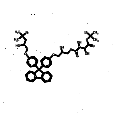 CCC(C)(C)CC(O)COc1ccc(C2(c3ccc(OCC(O)COC(=O)C(O)C(O)C(=O)OC(C)(C)CC)cc3)c3ccccc3-c3ccccc32)cc1